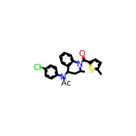 CC(=O)N(c1ccc(Cl)cc1)C1CC(C)N(C(=O)c2ccc(C)s2)c2ccccc21